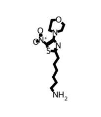 NCCCCCCc1nc(N2CCOCC2)c([N+](=O)[O-])s1